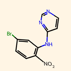 O=[N+]([O-])c1ccc(Br)cc1Nc1ccncn1